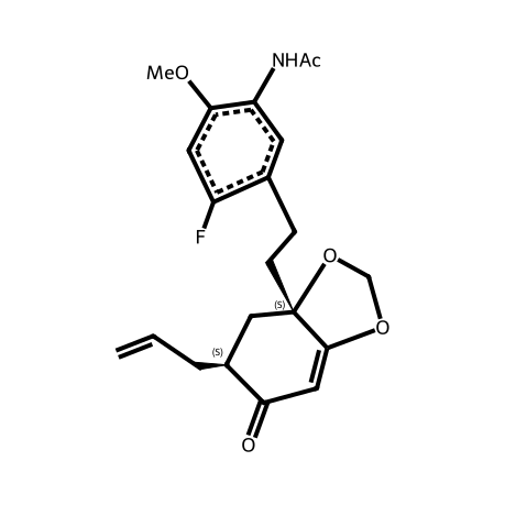 C=CC[C@H]1C[C@]2(CCc3cc(NC(C)=O)c(OC)cc3F)OCOC2=CC1=O